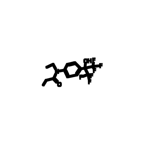 CCC(=O)N(CC)c1ccc(C(O)(C(F)(F)F)C(F)(F)F)cc1